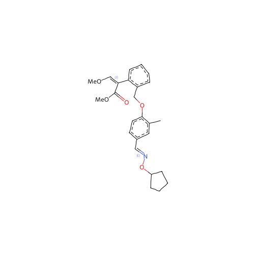 CO/C=C(\C(=O)OC)c1ccccc1COc1ccc(/C=N/OC2CCCC2)cc1C